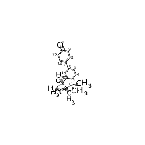 CC1(C)c2ccc(-c3ccc(Cl)cc3)cc2C(C)(C)C1(C)C